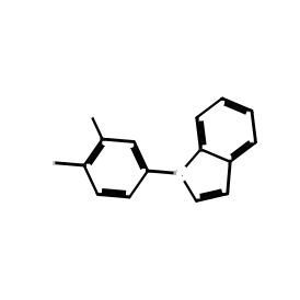 Fc1cc(-n2ccc3c[c]ccc32)ccc1Cl